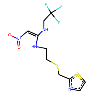 O=[N+]([O-])/C=C(\NCCSCc1nccs1)NCC(F)(F)F